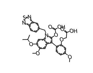 COc1ccc(-c2c(OC(=O)O)n(Cc3ccc4nsnc4c3)c3cc(OC(C)C)c(OC)cc23)c(OCC(=O)O)c1